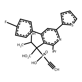 C#CP(=O)(O)C(C(=O)O)(c1c(-c2ccc(F)cc2)cc(-c2cccs2)nc1C(C)C)C(C)O